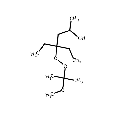 CCC(CC)(CC(C)O)OOC(C)(C)OC